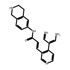 N=C/C(=C\N)c1ccncc1/C=C/C(=O)Nc1ccc2c(c1)CCNC2